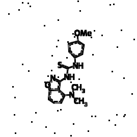 COc1ccc(NC(=S)Nc2noc3cccc(N(C)C)c23)cc1